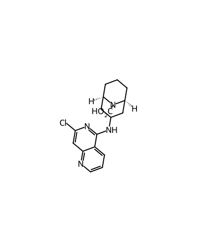 O=C(O)N1[C@@H]2CCC[C@H]1CC(Nc1nc(Cl)cc3ncccc13)C2